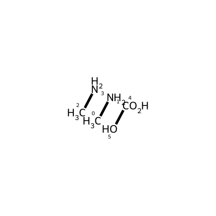 CN.CN.O=C(O)O